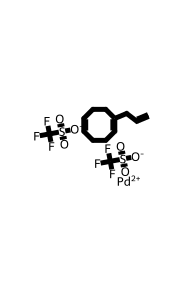 C=CCC1=CCCC=CCC1.O=S(=O)([O-])C(F)(F)F.O=S(=O)([O-])C(F)(F)F.[Pd+2]